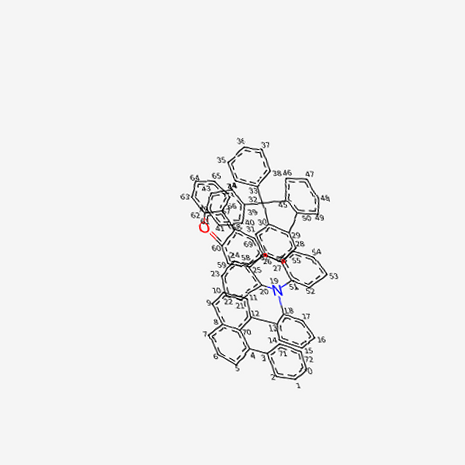 c1ccc(-c2cccc3cccc(-c4ccccc4N(c4ccccc4-c4ccc5c(c4)C(c4ccccc4)(c4ccccc4)c4ccccc4-5)c4ccccc4-c4ccc5oc6ccccc6c5c4)c23)cc1